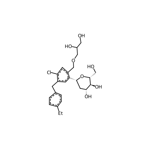 CCc1ccc(Cc2cc([C@H]3C[C@@H](O)[C@H](O)[C@@H](CO)O3)c(COCC(O)CO)cc2Cl)cc1